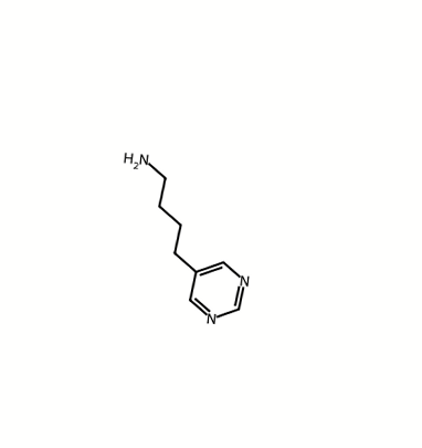 NCCCCc1cncnc1